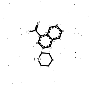 C1CCNCC1.S=C(S)c1cccc2ccccc12